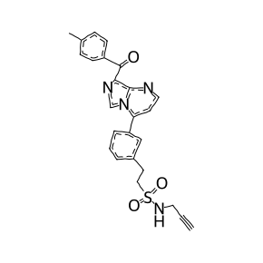 C#CCNS(=O)(=O)CCc1cccc(-c2ccnc3c(C(=O)c4ccc(C)cc4)ncn23)c1